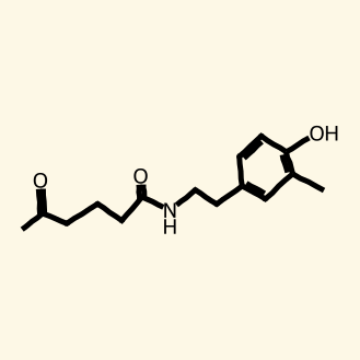 CC(=O)CCCC(=O)NCCc1ccc(O)c(C)c1